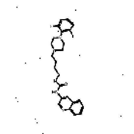 O=C(NCCCCN1CCN(c2c(F)cccc2F)CC1)Nc1cnc2ccccc2c1